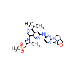 CC(C)c1ncc(N2C[C@H](CS(C)(=O)=O)[C@H]2C)c2cnc(Nc3ccnc(N4CCC5COC[C@H]54)n3)cc12